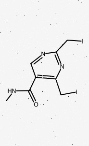 CNC(=O)c1cnc(CI)nc1CI